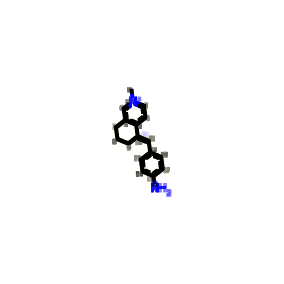 C[n+]1ccc2c(c1)CCC/C2=C\c1ccc(N)cc1